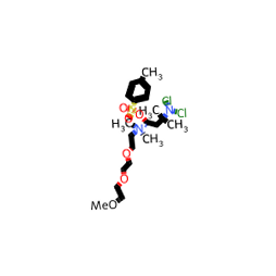 COCCOCCOCC[N+](C)(C)C(CC(C)(C)N(Cl)Cl)OS(=O)(=O)c1ccc(C)cc1